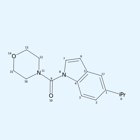 CC(C)c1ccc2c(ccn2C(=O)N2CCOCC2)c1